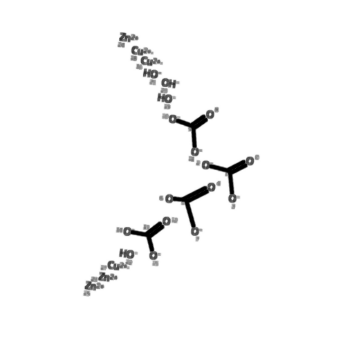 O=C([O-])[O-].O=C([O-])[O-].O=C([O-])[O-].O=C([O-])[O-].[Cu+2].[Cu+2].[Cu+2].[OH-].[OH-].[OH-].[OH-].[Zn+2].[Zn+2].[Zn+2]